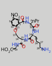 CCC[C@@H]1NC(=O)c2cc([N+](=O)[O-])ccc2OCC[C@@H](C(=O)NCC(=O)O)NC(=O)[C@H](CCCCN)NC1=O